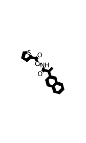 CC(C(=O)NOC(=O)c1cccs1)c1ccc2ccccc2c1